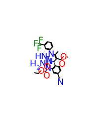 CCOC(=O)Nc1cc(C#N)ccc1[C@@H]1C(C(=O)OC)=C(C)N(c2cccc(C(F)(F)F)c2)C(=N)N1C(N)=O